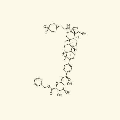 CC(C)[C@@H]1CC[C@]2(NCCN3CCS(=O)(=O)CC3)CC[C@]3(C)[C@H](CC[C@@H]4[C@@]5(C)CC=C(c6ccc(C(=O)OC7O[C@H](C(=O)OCc8ccccc8)[C@@H](O)[C@H](O)[C@H]7O)cc6)C(C)(C)[C@@H]5CC[C@]43C)[C@@H]12